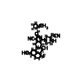 C#Cc1c(F)ccc2cc(O)cc(N3CCc4c(N5CCN[C@H](CC#N)C5)nc(OC[C@@H]5CCCN5C)c(C#N)c4C3)c12